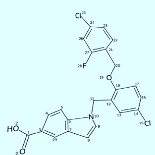 O=C(O)c1ccc2c(ccn2Cc2cc(Cl)ccc2OCc2ccc(Cl)cc2F)c1